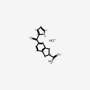 Cl.O=C(c1ccc2c(c1)CC(C(=O)O)C2)c1cccs1